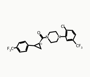 O=C([C@H]1CC1c1ccc(C(F)(F)F)cc1)N1CCN(c2cc(C(F)(F)F)ccc2Cl)CC1